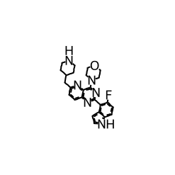 Fc1ccc2[nH]ccc2c1-c1nc(N2CCOCC2)c2nc(CC3CCNCC3)ccc2n1